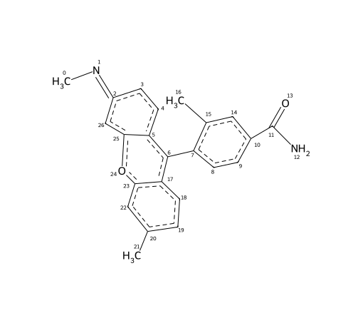 C/N=c1/ccc2c(-c3ccc(C(N)=O)cc3C)c3ccc(C)cc3oc-2c1